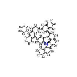 c1ccc(-c2c3ccccc3c(-c3ccc(-n4c5c6ccccc6ccc5c5ccc6ccc(-c7cccc8ccccc78)cc6c54)cc3)c3ccccc23)cc1